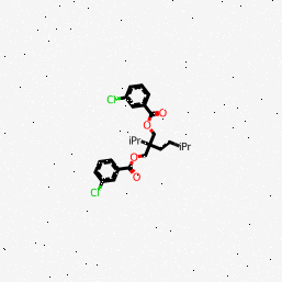 CC(C)CCC(COC(=O)c1cccc(Cl)c1)(COC(=O)c1cccc(Cl)c1)C(C)C